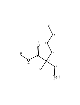 CCCCC(C)(C[TeH])C(=O)OC